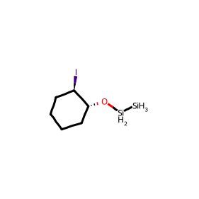 [SiH3][SiH2]O[C@@H]1CCCC[C@H]1I